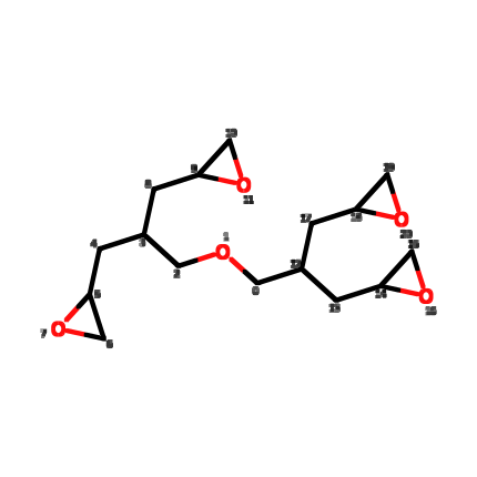 C(OCC(CC1CO1)CC1CO1)C(CC1CO1)CC1CO1